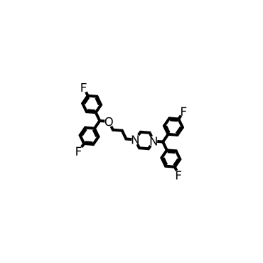 Fc1ccc(C(OCCCN2CCN(C(c3ccc(F)cc3)c3ccc(F)cc3)CC2)c2ccc(F)cc2)cc1